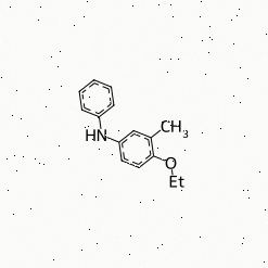 CCOc1ccc(Nc2ccccc2)cc1C